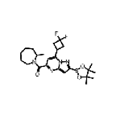 CC1CCCCCN1C(=O)c1cc(C2CC(F)(F)C2)n2nc(B3OC(C)(C)C(C)(C)O3)cc2n1